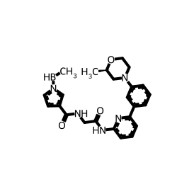 CBn1ccc(C(=O)NCC(=O)Nc2cccc(-c3cccc(N4CCO[C@H](C)C4)c3)n2)c1